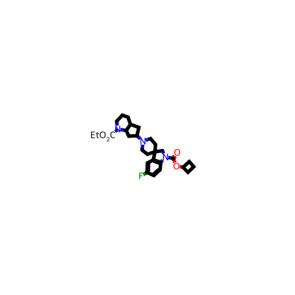 CCOC(=O)N1CCCC2CC(N3CCC4(CC3)CN(C(=O)OC3CCC3)c3ccc(F)cc34)CC21